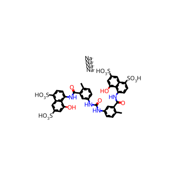 Cc1ccc(NC(=O)Nc2ccc(C)c(C(=O)Nc3ccc(S(=O)(=O)O)c4cc(S(=O)(=O)O)cc(O)c34)c2)cc1C(=O)Nc1ccc(S(=O)(=O)O)c2cc(S(=O)(=O)O)cc(O)c12.[Na].[Na].[Na].[Na]